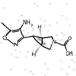 Cc1onc(C2[C@H]3CN(C(=O)O)C[C@@H]23)c1N